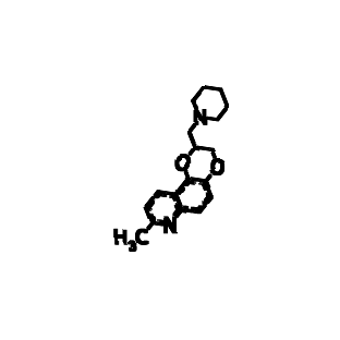 Cc1ccc2c3c(ccc2n1)OCC(CN1CCCCC1)O3